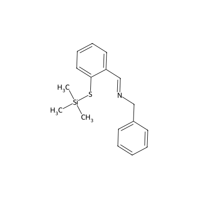 C[Si](C)(C)Sc1ccccc1C=NCc1ccccc1